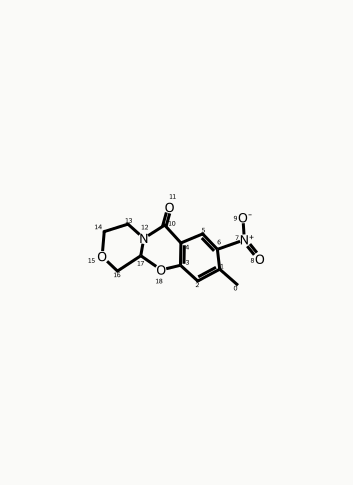 Cc1cc2c(cc1[N+](=O)[O-])C(=O)N1CCOCC1O2